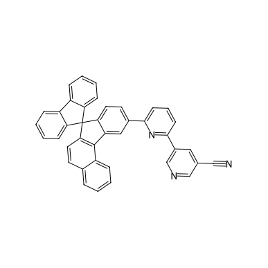 N#Cc1cncc(-c2cccc(-c3ccc4c(c3)-c3c(ccc5ccccc35)C43c4ccccc4-c4ccccc43)n2)c1